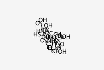 CC(C)[C@H](NC(=O)[C@H](CC(=O)O)NC(=O)[C@@H](N)CO)C(=O)N[C@@H](Cc1ccc(O)cc1)C(=O)N[C@@H](CS)C(=O)N[C@@H](CCC(=O)O)C(=O)O